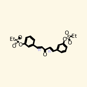 CCS(=O)(=O)Oc1cccc(/C=C/C(=O)/C=C/c2cccc(OS(=O)(=O)CC)c2)c1